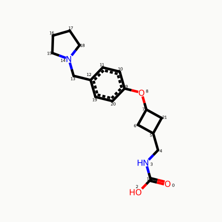 O=C(O)NCC1CC(Oc2ccc(CN3CCCC3)cc2)C1